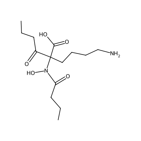 CCCC(=O)N(O)C(CCCCN)(C(=O)O)C(=O)CCC